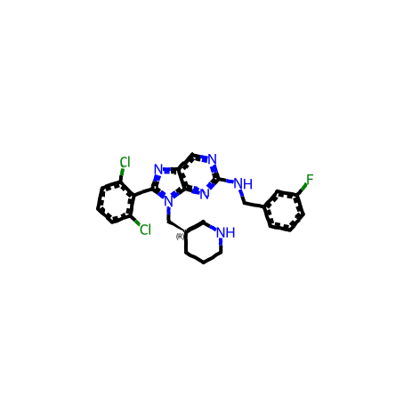 Fc1cccc(CNc2ncc3nc(-c4c(Cl)cccc4Cl)n(C[C@@H]4CCCNC4)c3n2)c1